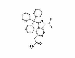 NC(=O)Cc1cc2c(cn1)c(C(F)F)nn2C(c1ccccc1)(c1ccccc1)c1ccccc1